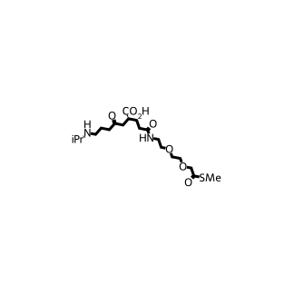 CSC(=O)COCCOCCNC(=O)CC[C@H](CC(=O)CCCNC(C)C)C(=O)O